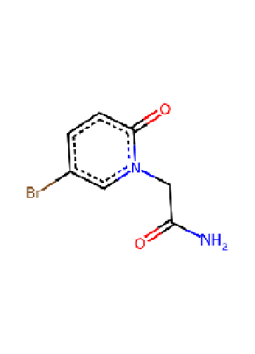 NC(=O)Cn1cc(Br)ccc1=O